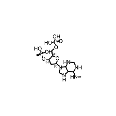 C=P(O)(O)O[C@H]1C[C@H](N2CNC3C(NC)NCNC32)O[C@@H]1COP(=O)(O)O